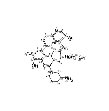 CC(=O)c1cnc2ccc(-c3cc(F)c(O)c(Cl)c3)cc2c1N[C@H]1CC[C@H](CN2CCCC(N)C2)CC1.Cl.Cl.Cl